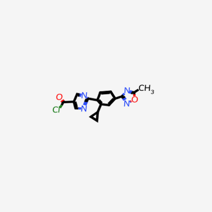 Cc1nc(-c2ccc(-c3ncc(C(=O)Cl)cn3)c(C3CC3)c2)no1